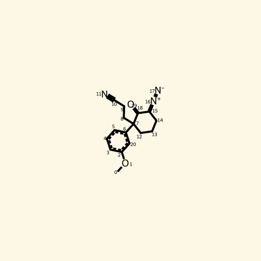 COc1cccc(C2(CCC#N)CCCC(=[N+]=[N-])C2=O)c1